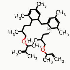 C=CC(C)OCC(C)CC[C@@H]1C(CC2C=C(C)C=C(C)C2CCC(C)COC(C)C(=C)C)=CC(C)=CC1C